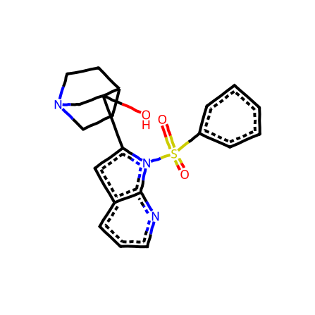 O=S(=O)(c1ccccc1)n1c(C2(O)CN3CCC2CC3)cc2cccnc21